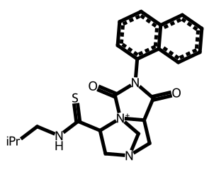 CC(C)CNC(=S)C1CN2CC3C(=O)N(c4cccc5ccccc45)C(=O)[N+]31C2